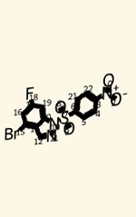 O=[N+]([O-])c1ccc(S(=O)(=O)n2ncc3c(Br)cc(F)cc32)cc1